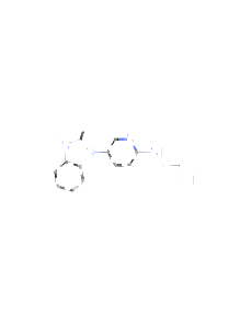 C=C1N(C)c2ccccc2N1c1ccc(NCC(C)F)nc1